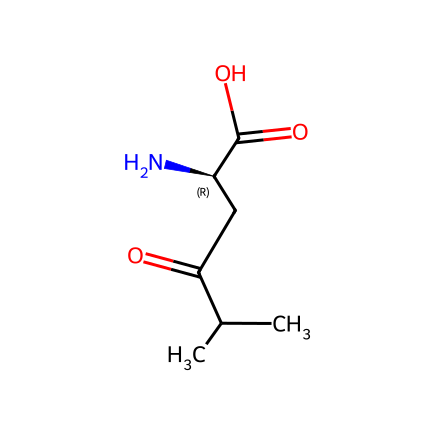 CC(C)C(=O)C[C@@H](N)C(=O)O